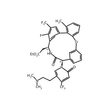 CCOC(=O)C[C@@H]1NC(=O)[C@H](n2cc(CCN(C)C)c(C(F)(F)F)cc2=O)c2cccc(c2)Oc2cccc(C)c2-c2cc1c(F)c(C(F)(F)F)c2